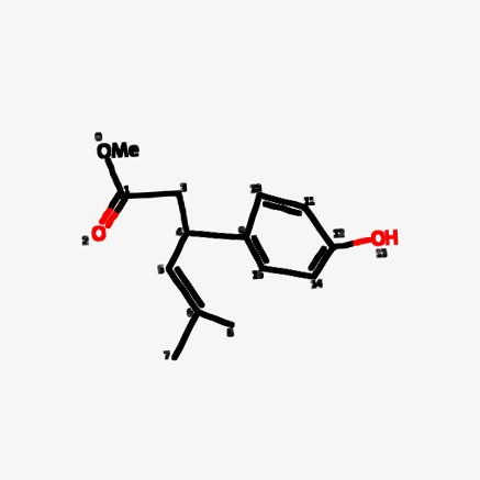 COC(=O)CC(C=C(C)C)c1ccc(O)cc1